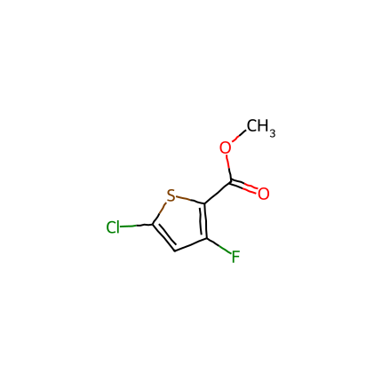 COC(=O)c1sc(Cl)cc1F